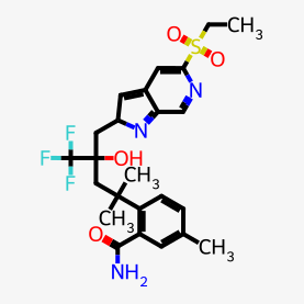 CCS(=O)(=O)c1cc2c(cn1)=NC(CC(O)(CC(C)(C)c1ccc(C)cc1C(N)=O)C(F)(F)F)C=2